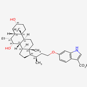 CC[C@H]1[C@@H](O)[C@@H]2[C@H](CC[C@]3(C)[C@@H]([C@H](C)CCOc4ccc5c(C(=O)O)c[nH]c5c4)CC[C@@H]23)[C@@]2(C)CC[C@@H](O)C[C@@H]12